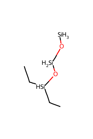 CC[SiH](CC)O[SiH2]O[SiH3]